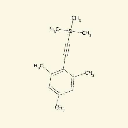 Cc1cc(C)c(C#C[Si](C)(C)C)c(C)c1